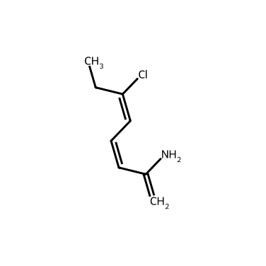 C=C(N)/C=C\C=C(\Cl)CC